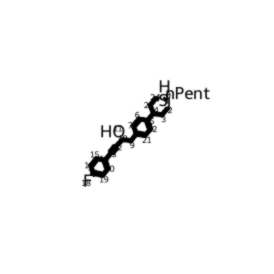 CCCCC[SiH]1CCC(c2ccc(CC(O)C#Cc3ccc(F)cc3)cc2)CC1